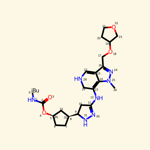 CCC(C)NC(=O)O[C@@H]1CC[C@H](C2CC(NC3=c4c(c(COC5CCOC5)nn4C)=CNC3)=NN2)C1